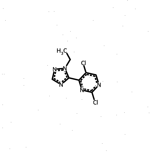 CCn1ncnc1-c1nc(Cl)ncc1Cl